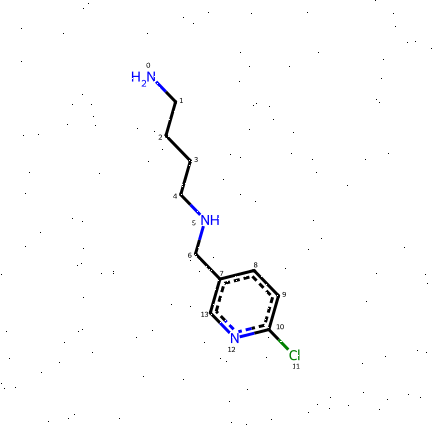 NCCCCNCc1ccc(Cl)nc1